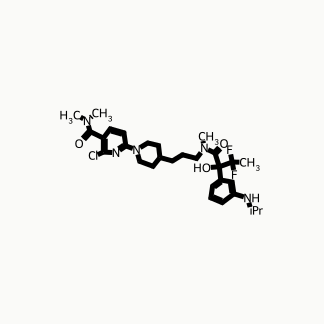 CC(C)Nc1cccc(C(O)(C(=O)N(C)CCCC2CCN(c3ccc(C(=O)N(C)C)c(Cl)n3)CC2)C(C)(F)F)c1